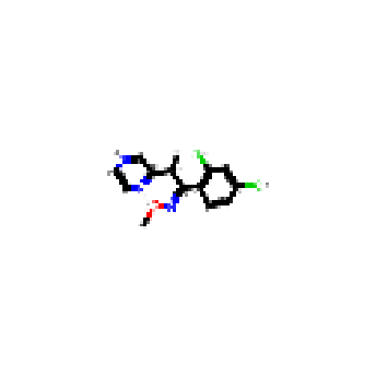 CON=C(c1ccc(Cl)cc1Cl)C(C)c1cnccn1